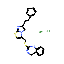 C1=C(CSC2=NCc3ccccc3N2)N2CC(CCc3ccccc3)N=C2S1.Cl.Cl